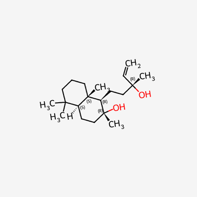 C=C[C@](C)(O)CC[C@@H]1[C@@]2(C)CCCC(C)(C)[C@@H]2CC[C@@]1(C)O